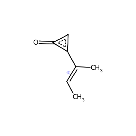 C/C=C(\C)c1cc1=O